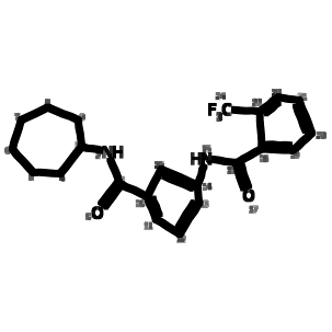 O=C(NC1CCCCCC1)c1cccc(NC(=O)c2ccccc2C(F)(F)F)c1